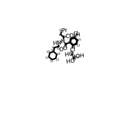 CC(C)C[C@H](C(=O)O)N(NC(=O)CC1CCCCC1)C(=O)c1cc(Cl)ccc1Cl.OB(O)O